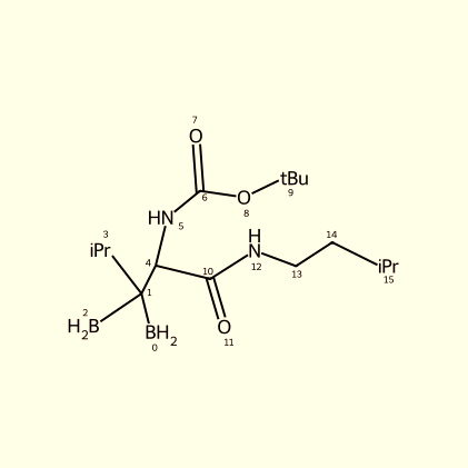 BC(B)(C(C)C)C(NC(=O)OC(C)(C)C)C(=O)NCCC(C)C